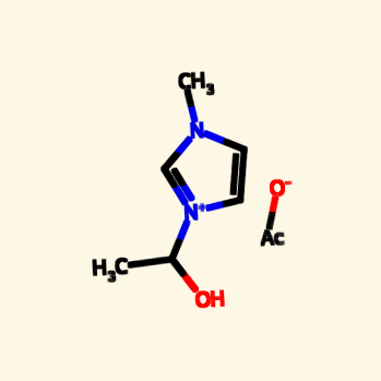 CC(=O)[O-].CC(O)[n+]1ccn(C)c1